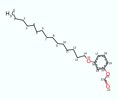 CCCCCCCCCCCCCCCOc1cccc(OC=O)c1